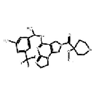 COC1(C(=O)N2CC3=C(C2)N2CCN=C2N=C3NC(C)c2cc(N)cc(C(F)(F)F)c2)CCOCC1